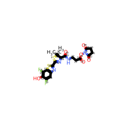 CC1(C)SC(c2nc3cc(F)c(O)c(F)c3s2)=NC1C(=O)NCCC(=O)ON1C(=O)CCC1=O